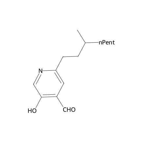 CCCCCC(C)CCc1cc(C=O)c(O)cn1